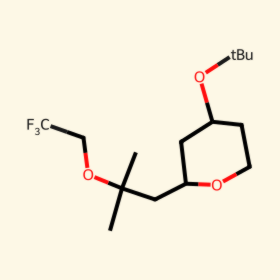 CC(C)(C)OC1CCOC(CC(C)(C)OCC(F)(F)F)C1